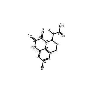 CC(C(=O)O)C1CCc2cc(Br)cc3[nH]c(=O)c(=O)n1c23